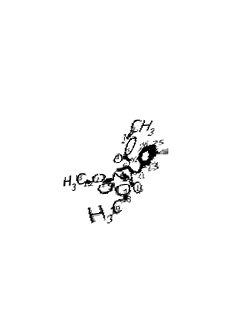 CCOC(=O)C[C@H]1CN(C(=O)OCC)N(C(=O)OCC)[C@@H]1Cc1ccccc1